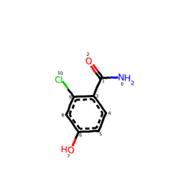 NC(=O)c1ccc(O)cc1Cl